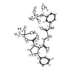 C[C@H](c1cccc(NC(=O)NCC(=O)N2[C@@H](c3ccccc3)SC[C@H]2C(=O)OC(C)(C)C)c1)S(=O)(=O)O